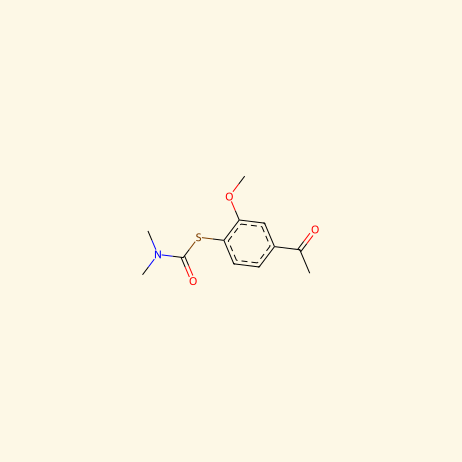 COc1cc(C(C)=O)ccc1SC(=O)N(C)C